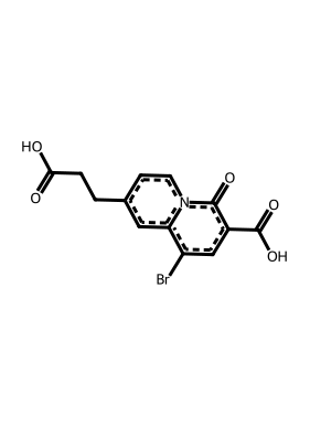 O=C(O)CCc1ccn2c(=O)c(C(=O)O)cc(Br)c2c1